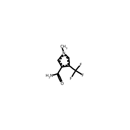 Cn1cc(C(N)=O)c(C(F)(F)F)c1